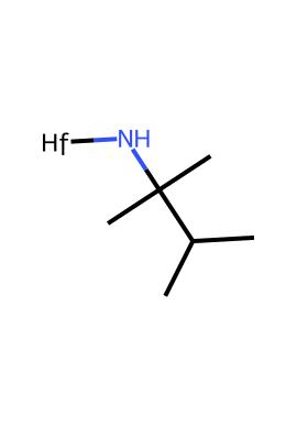 CC(C)C(C)(C)[NH][Hf]